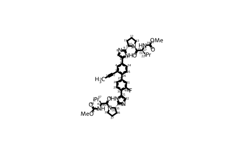 CC#Cc1cc(-c2cnc([C@@H]3CCCN3C(=O)[C@@H](NC(=O)OC)C(C)C)[nH]2)ccc1-c1ccc(-c2cnc([C@@H]3CCCN3C(=O)[C@@H](NC(=O)OC)C(C)C)[nH]2)c(F)c1